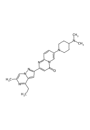 CCc1nc(C)cn2nc(-c3cc(=O)n4cc(N5CCC(N(C)C)CC5)ccc4n3)cc12